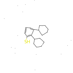 Sc1cccc(C2CCCCC2)c1C1CCCCC1